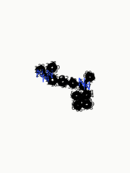 c1ccc(-c2nc(-c3ccc(-c4ccc(-c5ccc6nc(-c7ccccn7)n(-c7ccccc7)c6c5)cc4)cc3)cc(-c3cccc4c3-c3ccccc3C4(c3ccccc3)c3ccccc3)n2)cc1